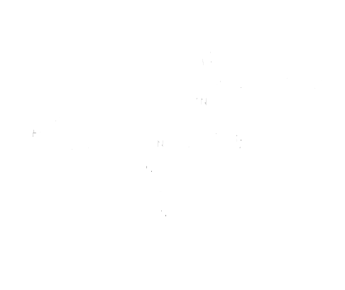 O=C(O)Cc1cnc(-c2nn(Cc3cccc(F)c3F)c3ncccc23)nc1O